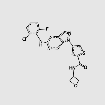 O=C(NC1COC1)c1cc(-n2ncc3cc(Nc4c(F)cccc4Cl)ncc32)cs1